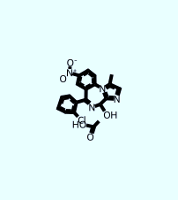 CC(=O)O.Cc1cnc2n1-c1ccc([N+](=O)[O-])cc1C(c1ccccc1Cl)=NC2O